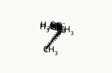 CCCCCCCCCCCCCCCCCSCC(C)COP(=O)([O-])OCC[N+](C)(C)C